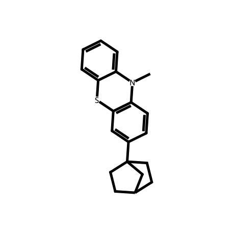 CN1c2ccccc2Sc2cc(C34CCC(CC3)C4)ccc21